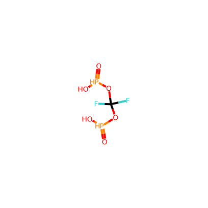 O=[PH](O)OC(F)(F)O[PH](=O)O